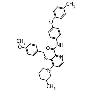 COc1ccc(CSc2c(N3CCCC(C)C3)ccnc2C(=O)Nc2ccc(Oc3ccc(C)cc3)cc2)cc1